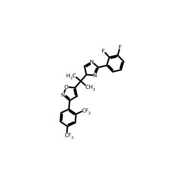 CC(C)(c1cc(-c2ccc(C(F)(F)F)cc2C(F)(F)F)no1)C1C=NC(c2cccc(F)c2F)=N1